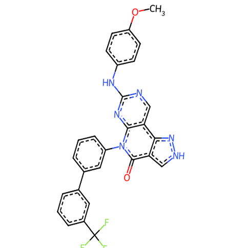 COc1ccc(Nc2ncc3c4n[nH]cc4c(=O)n(-c4cccc(-c5cccc(C(F)(F)F)c5)c4)c3n2)cc1